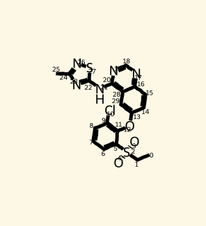 CCS(=O)(=O)c1cccc(Cl)c1Oc1ccc2ncnc(Nc3nc(C)ns3)c2c1